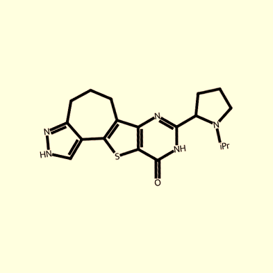 CC(C)N1CCCC1c1nc2c3c(sc2c(=O)[nH]1)-c1c[nH]nc1CCC3